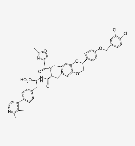 Cc1nc(C(=O)N2Cc3cc4c(cc3C[C@H]2C(=O)N[C@@H](Cc2ccc(-c3ccnc(C)c3C)cc2)C(=O)O)OC[C@H](c2ccc(OCc3ccc(Cl)c(Cl)c3)cc2)O4)co1